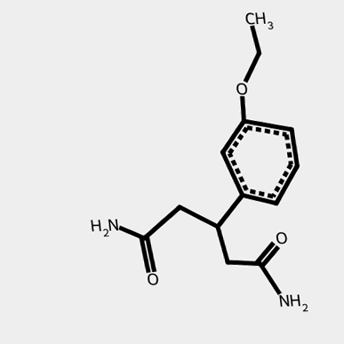 CCOc1cccc(C(CC(N)=O)CC(N)=O)c1